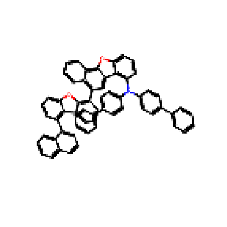 c1ccc(-c2ccc(N(c3ccc(-c4ccccc4)cc3)c3cccc4oc5c6ccccc6c(-c6cccc7c6oc6cccc(-c8cccc9ccccc89)c67)cc5c34)cc2)cc1